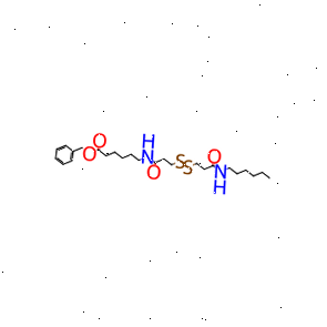 CCCCCCNC(=O)CCSSCCC(=O)NCCCCCC(=O)OCc1ccccc1